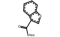 CCCCCCC(=O)c1csc2ccccc12